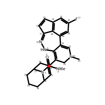 CNC(=O)N1C2C=C(C3=C4NN=C5C=Cc6cc(F)cc(c65)C4=CN(C)C3)CC1CCC2